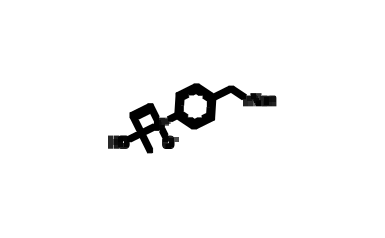 CCCCCCCCCCc1ccc([N+]2([O-])C=CC2(C)O)cc1